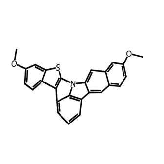 COc1ccc2cc3c4cccc5c6c7ccc(OC)cc7sc6n(c3cc2c1)c45